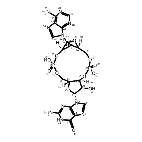 Nc1nc2c(ncn2[C@@H]2O[C@@H]3COP(=O)(O)O[C@@H]4[C@H](O)[C@@H](COP(=O)(O)O[C@H]3[C@H]2O)O[C@H]4n2cnc3c(N)ncnc32)c(=O)[nH]1